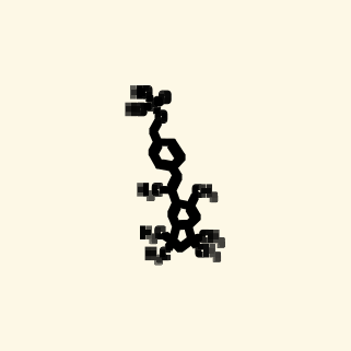 CC(=Cc1ccc(COP(=O)(O)O)cc1)c1cc2c(cc1C)C(C)(C)CC2(C)C